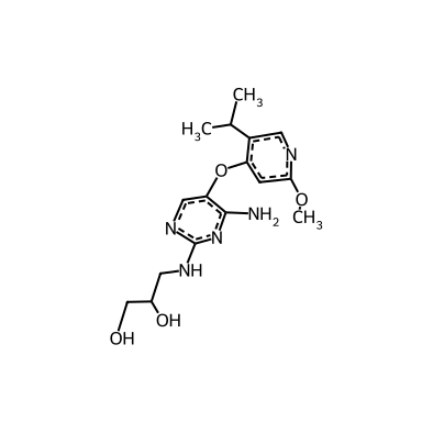 COc1cc(Oc2cnc(NCC(O)CO)nc2N)c(C(C)C)cn1